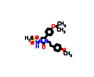 COc1ccc(CCN2C(=O)N(NS(C)(=O)=O)CC2c2ccc(OC(C)C)cc2)cc1